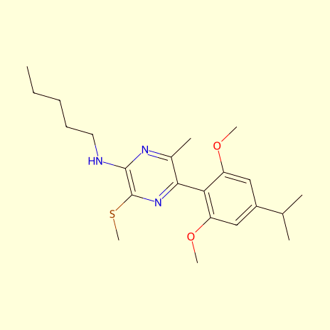 CCCCCNc1nc(C)c(-c2c(OC)cc(C(C)C)cc2OC)nc1SC